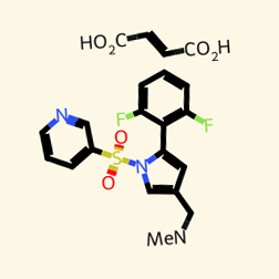 CNCc1cc(-c2c(F)cccc2F)n(S(=O)(=O)c2cccnc2)c1.O=C(O)C=CC(=O)O